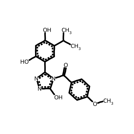 COc1ccc(C(=O)n2c(O)nnc2-c2cc(C(C)C)c(O)cc2O)cc1